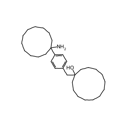 NC1(c2ccc(CC3(O)CCCCCCCCCCCC3)cc2)CCCCCCCCCCC1